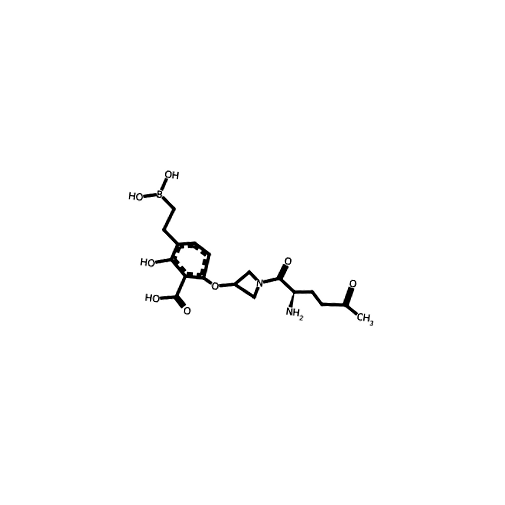 CC(=O)CC[C@@H](N)C(=O)N1CC(Oc2ccc(CCB(O)O)c(O)c2C(=O)O)C1